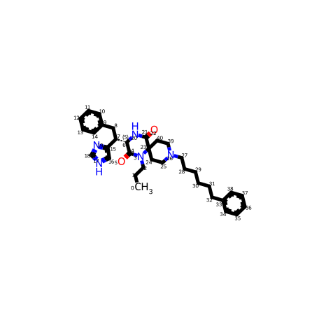 CCCN1C(=O)[C@H](C(Cc2ccccc2)c2c[nH]cn2)NC(=O)C12CCN(CCCCCCc1ccccc1)CC2